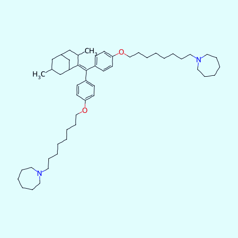 CC1CC2CC(C)C(=C(c3ccc(OCCCCCCCCN4CCCCCC4)cc3)c3ccc(OCCCCCCCCN4CCCCCC4)cc3)C(C1)C2